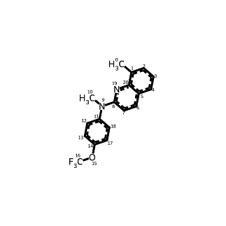 Cc1cccc2ccc(N(C)c3ccc(OC(F)(F)F)cc3)nc12